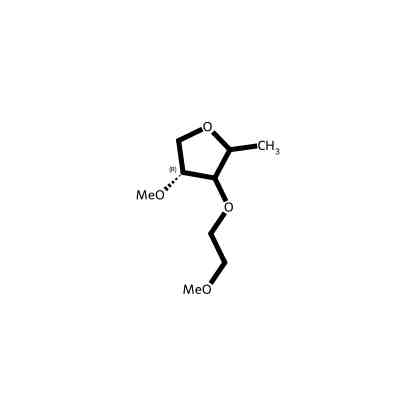 COCCOC1C(C)OC[C@H]1OC